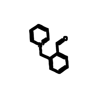 O=Cc1ccccc1C[n+]1ccccc1